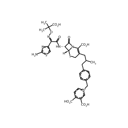 CC(CC1=C(C(=O)O)N2C(=O)[C@@H](NC(=O)/C(=N\OC(C)(C)C(=O)O)c3csc(N)n3)[C@H]2SC1)Cc1ccc(C[n+]2ccc(C(=O)O)c(C(=O)O)c2)cc1